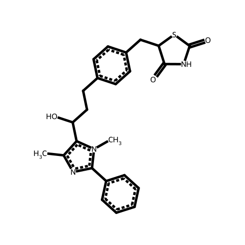 Cc1nc(-c2ccccc2)n(C)c1C(O)CCc1ccc(CC2SC(=O)NC2=O)cc1